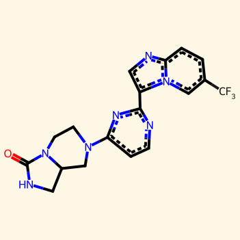 O=C1NCC2CN(c3ccnc(-c4cnc5ccc(C(F)(F)F)cn45)n3)CCN12